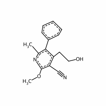 COc1nc(C)c(-c2ccccc2)c(CCO)c1C#N